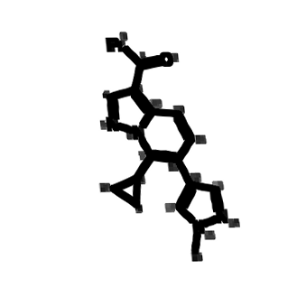 CC(C)C(=O)c1cnn2c(C3CC3)c(-c3cnn(C)c3)ccc12